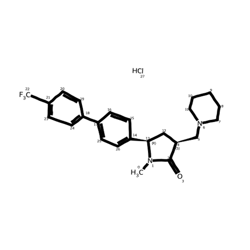 CN1C(=O)[C@H](CN2CCCCC2)C[C@@H]1c1ccc(-c2ccc(C(F)(F)F)cc2)cc1.Cl